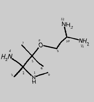 CNC(C)(N)C(C)(C)OCC(N)N